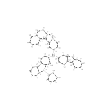 c1ccc(-n2c3ccccc3c3ccc(N(c4ccc5c(c4)oc4ccccc45)c4ccc5sc6ccc7ccccc7c6c5c4)cc32)cc1